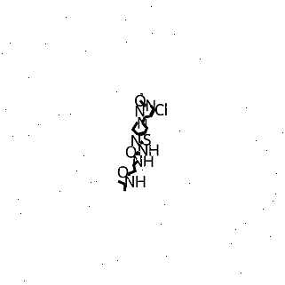 COc1nc(Cl)cc(N2CCc3nc(NC(=O)NCCC(=O)NC(C)C)sc3C2)n1